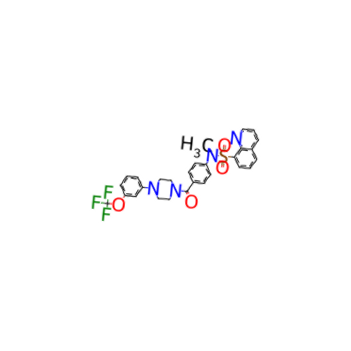 CN(c1ccc(C(=O)N2CCN(c3cccc(OC(F)(F)F)c3)CC2)cc1)S(=O)(=O)c1cccc2cccnc12